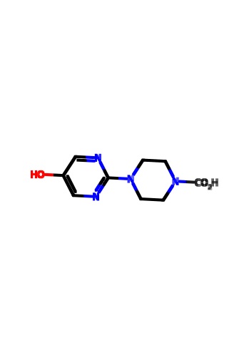 O=C(O)N1CCN(c2ncc(O)cn2)CC1